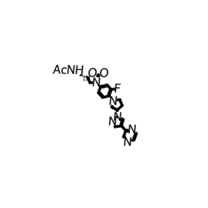 CC(=O)NC[C@H]1CN(c2ccc(N3CCC(n4cc(-c5cnccn5)cn4)C3)c(F)c2)C(=O)O1